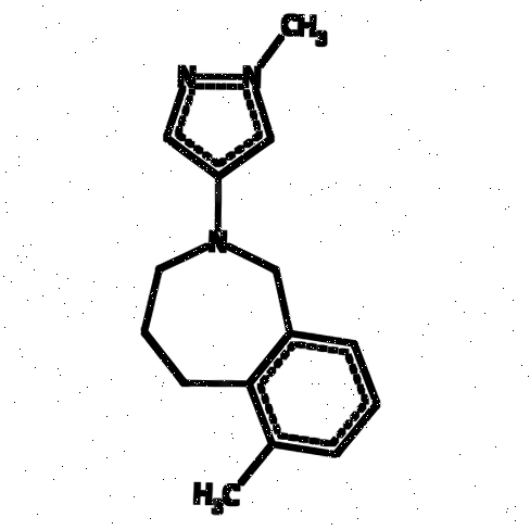 Cc1cccc2c1CCCN(c1cnn(C)c1)C2